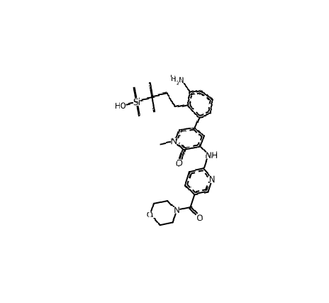 Cn1cc(-c2cccc(N)c2CCC(C)(C)[Si](C)(C)O)cc(Nc2ccc(C(=O)N3CCOCC3)cn2)c1=O